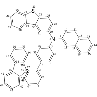 c1ccc(-c2ccc(N(c3ccc4ccccc4c3)c3ccc4sc5ccccc5c4c3)cc2-c2cccc3c2sc2ccccc23)cc1